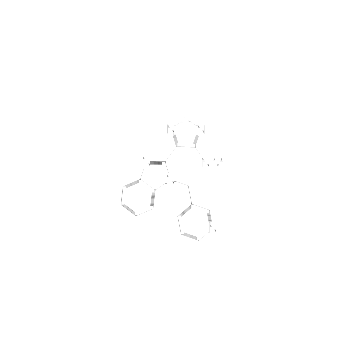 CNc1nsnc1-c1nc2ccccc2n1Cc1cccnc1